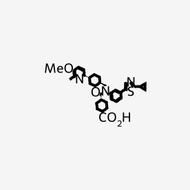 COc1ccc([C@H]2CC[C@H](CN(c3cccc(-c4cnc(C5CC5)s4)c3)C(=O)[C@H]3CC[C@H](C(=O)O)CC3)CC2)nc1C